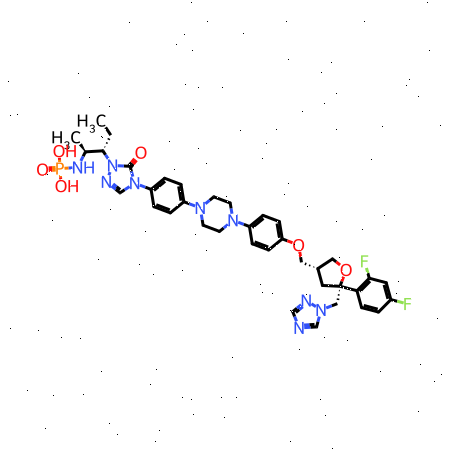 CC[C@@H]([C@H](C)NP(=O)(O)O)n1ncn(-c2ccc(N3CCN(c4ccc(OC[C@@H]5CO[C@@](Cn6cncn6)(c6ccc(F)cc6F)C5)cc4)CC3)cc2)c1=O